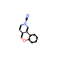 N#CN1C=CC2=COc3ccccc3C2=C1